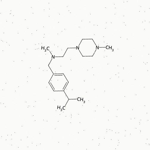 CC(C)c1ccc(CN(C)CCN2CCN(C)CC2)cc1